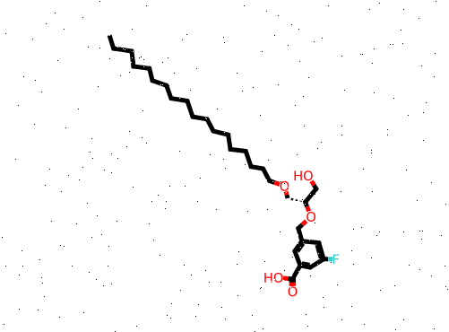 CCCCCCCCCCCCCCCCCCOC[C@H](CO)OCc1cc(F)cc(C(=O)O)c1